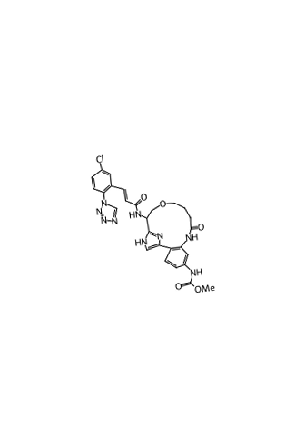 COC(=O)Nc1ccc2c(c1)NC(=O)CCCOCC(NC(=O)C=Cc1cc(Cl)ccc1-n1cnnn1)c1nc-2c[nH]1